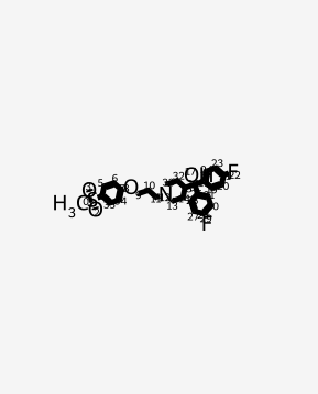 CS(=O)(=O)c1ccc(OCCCN2CCC(C(O)(c3ccc(F)cc3)c3ccc(F)cc3)CC2)cc1